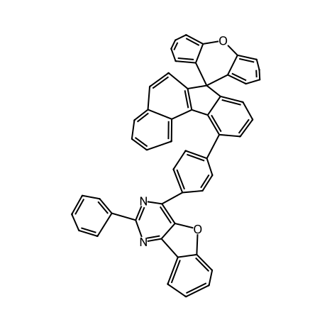 c1ccc(-c2nc(-c3ccc(-c4cccc5c4-c4c(ccc6ccccc46)C54c5ccccc5Oc5ccccc54)cc3)c3oc4ccccc4c3n2)cc1